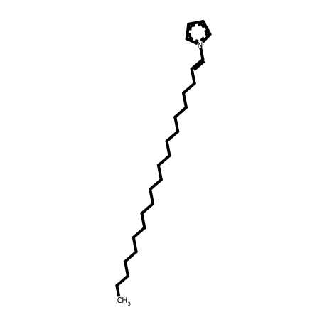 CCCCCCCCCCCCCCCCCCCC=Cn1cccc1